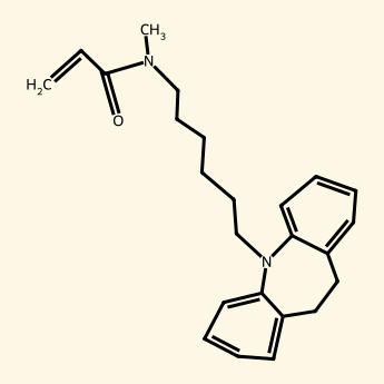 C=CC(=O)N(C)CCCCCCN1c2ccccc2CCc2ccccc21